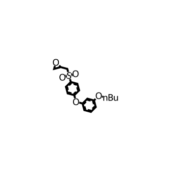 CCCCOc1cccc(Oc2ccc(S(=O)(=O)CC3CO3)cc2)c1